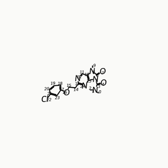 CN(C)C(=O)n1c(=O)n(C)c2cnc(CCOc3cccc(Cl)c3)nc21